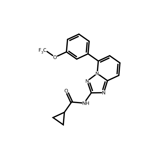 O=C(Nc1nc2cccc(-c3cccc(OC(F)(F)F)c3)n2n1)C1CC1